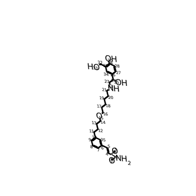 NS(=O)(=O)/C=C/c1cccc(CCCCOCCCCCCNC[C@@H](O)c2ccc(O)c(CO)c2)c1